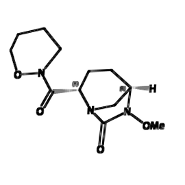 CON1C(=O)N2C[C@H]1CC[C@H]2C(=O)N1CCCCO1